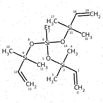 C=C[Si](C)(C)O[Si](CC)(O[Si](C)(C)C=C)O[Si](C)(C)C=C